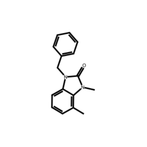 Cc1cccc2c1n(C)c(=O)n2Cc1ccccc1